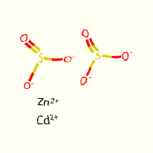 O=S([O-])[O-].O=S([O-])[O-].[Cd+2].[Zn+2]